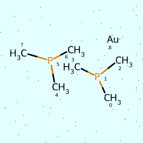 CP(C)C.CP(C)C.[Au]